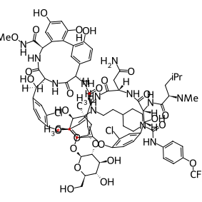 CN[C@H](CC(C)C)C(=O)N[C@H]1C(=O)N[C@@H](CC(N)=O)C(=O)N[C@H]2C(=O)N[C@H]3C(=O)N[C@H](C(=O)N[C@@H](C(=O)NOC)c4cc(O)cc(O)c4-c4cc3ccc4O)[C@H](O)c3ccc(c(Cl)c3)Oc3cc2cc(c3O[C@@H]2O[C@H](CO)[C@@H](O)[C@H](O)[C@H]2O[C@H]2C[C@](C)(NCCC3CCN(C(=O)Nc4ccc(OC(F)(F)F)cc4)CC3)[C@H](O)[C@H](C)O2)Oc2ccc(cc2Cl)[C@H]1O